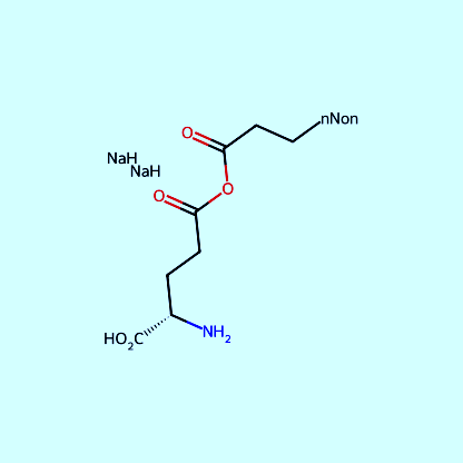 CCCCCCCCCCCC(=O)OC(=O)CC[C@H](N)C(=O)O.[NaH].[NaH]